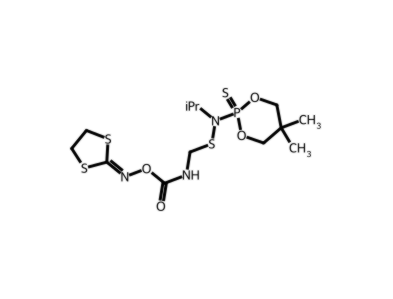 CC(C)N(SCNC(=O)ON=C1SCCS1)P1(=S)OCC(C)(C)CO1